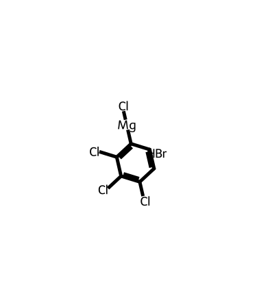 Br.[Cl][Mg][c]1ccc(Cl)c(Cl)c1Cl